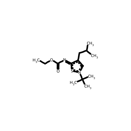 CCOC(=O)N=c1sn(C(C)(C)C)cc1CC(C)C